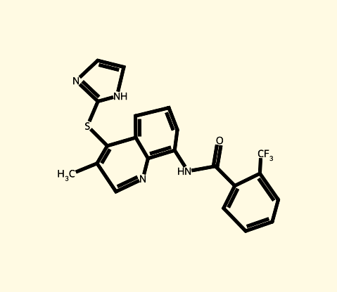 Cc1cnc2c(NC(=O)c3ccccc3C(F)(F)F)cccc2c1Sc1ncc[nH]1